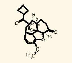 COc1ccc2c3c1O[C@@H]1C(=O)CC[C@@H]4[C@H](C2)N(C(=O)C2CCC2)CCC314